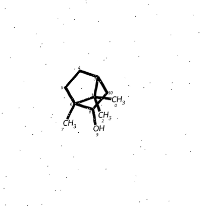 CC1(C)C2CCC1(C)C(O)C2